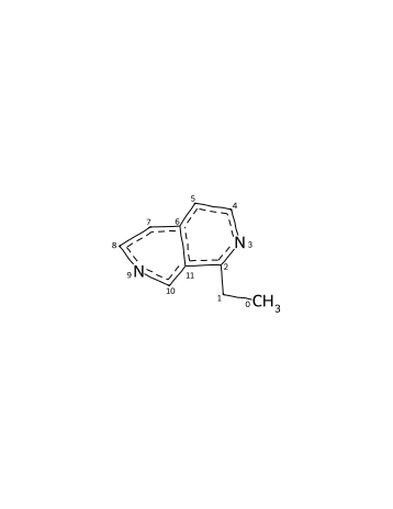 CCc1nccc2ccncc12